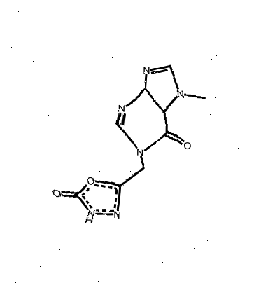 CN1C=NC2N=CN(Cc3n[nH]c(=O)o3)C(=O)C21